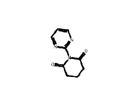 O=C1CCCC(=O)N1c1ncccn1